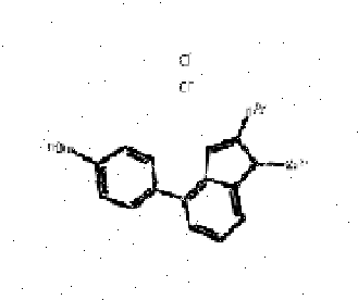 CCCCc1ccc(-c2cccc3c2C=C(CCC)[CH]3[Zr+2])cc1.[Cl-].[Cl-]